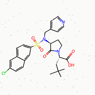 CC(C)(C)C[C@@H](C(=O)O)N1CC[C@H](N(Cc2ccncc2)S(=O)(=O)c2ccc3cc(Cl)ccc3c2)C1=O